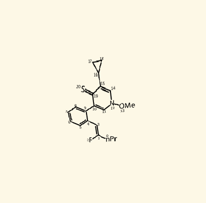 CCCC(F)=Cc1ccccc1-c1cn(OC)cc(C2CC2)c1=S